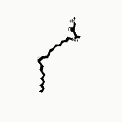 CCCCCCCC/C=C\CCCCCCCCNC(C)C(=O)CNC